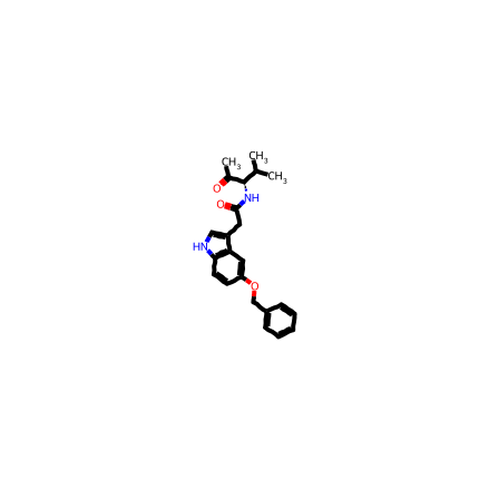 CC(=O)[C@@H](NC(=O)Cc1c[nH]c2ccc(OCc3ccccc3)cc12)C(C)C